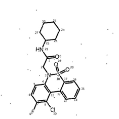 O=C(CN1c2ccc(F)c(Cl)c2-c2ccccc2S1(=O)=O)NC1CCCCC1